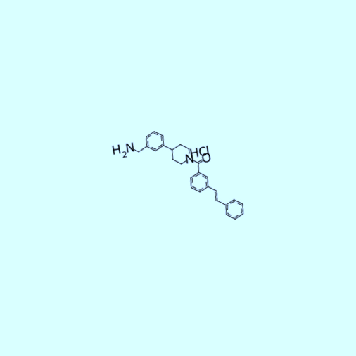 Cl.NCc1cccc(C2CCN(C(=O)c3cccc(C=Cc4ccccc4)c3)CC2)c1